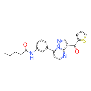 CCCCC(=O)Nc1cccc(-c2ccnc3c(C(=O)c4cccs4)cnn23)c1